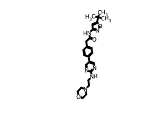 CC(C)(C)c1cc(NC(=O)Cc2ccc(-c3cnc(NCCN4CCOCC4)nc3)cc2)no1